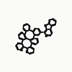 c1ccc2c(c1)oc1c(-c3ccc4c(c3)c3cccc5c3-c3c(cccc3c3cccnc3c3ncccc53)c3ccccc34)nccc12